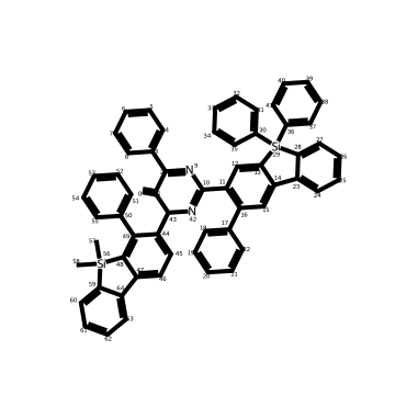 C=C1C(c2ccccc2)=NC(c2cc3c(cc2-c2ccccc2)-c2ccccc2[Si]3(c2ccccc2)c2ccccc2)=NC1c1ccc2c(c1-c1ccccc1)[Si](C)(C)c1ccccc1-2